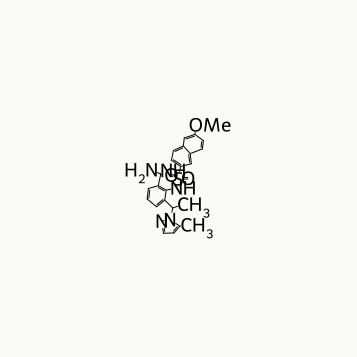 COc1ccc2cc(S(=O)(=O)Nc3c(C(=N)N)cccc3C(C)n3nccc3C)ccc2c1